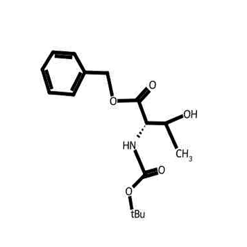 CC(O)[C@H](NC(=O)OC(C)(C)C)C(=O)OCc1ccccc1